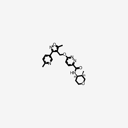 Cc1ccc(-c2noc(C)c2COc2ccc(C(=O)N[C@@H]3CCOC[C@@H]3C)nn2)cn1